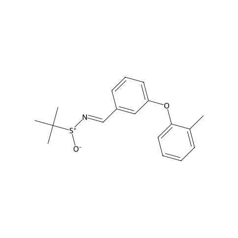 Cc1ccccc1Oc1cccc(C=N[S+]([O-])C(C)(C)C)c1